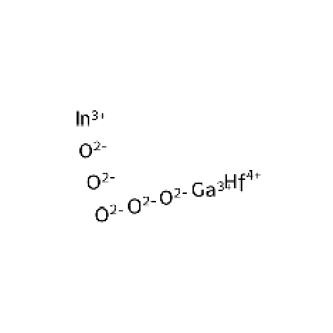 [Ga+3].[Hf+4].[In+3].[O-2].[O-2].[O-2].[O-2].[O-2]